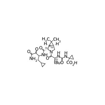 CC(C)(C)[C@H](NC(=O)NC1(C(=O)O)CC1)C(=O)N1C[C@H]2[C@@H]([C@H]1C(=O)NC(CC1CC1)C(=O)C(N)=O)C2(C)C